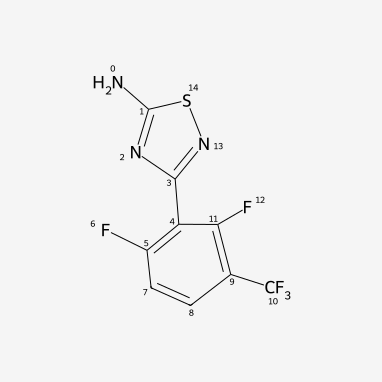 Nc1nc(-c2c(F)ccc(C(F)(F)F)c2F)ns1